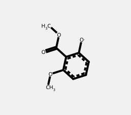 COC(=O)c1c([O])cccc1OC